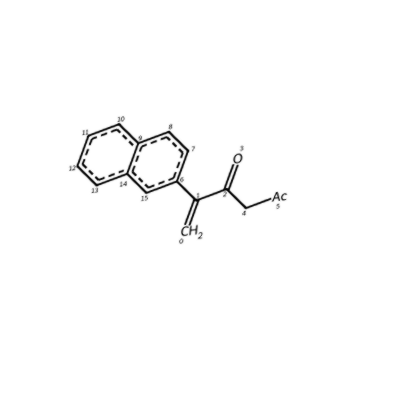 C=C(C(=O)CC(C)=O)c1ccc2ccccc2c1